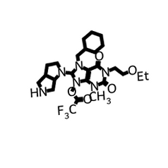 CCOCCn1c(=O)c2c(n(C)c1=O)N(OC(=O)C(F)(F)F)C(N1CCC3CNCC31)N2CC1CCCCC1